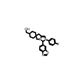 OCC1CCC2(CC1)CC1=CN(c3ccc(F)cc3)C(c3ccc4ncsc4c3)N1C2